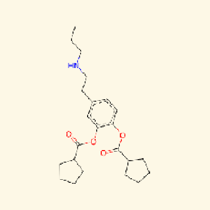 CCCNCCc1ccc(OC(=O)C2CCCC2)c(OC(=O)C2CCCC2)c1